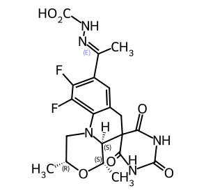 C/C(=N\NC(=O)O)c1cc2c(c(F)c1F)N1C[C@@H](C)O[C@@H](C)[C@@H]1C1(C2)C(=O)NC(=O)NC1=O